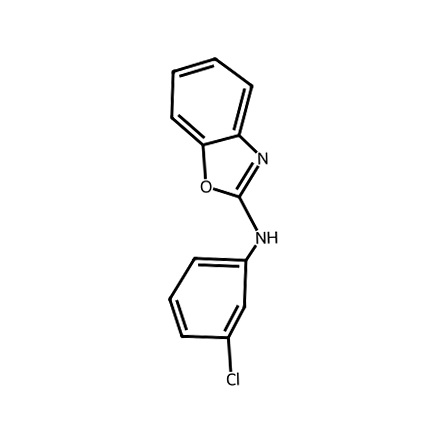 Clc1cccc(Nc2nc3ccccc3o2)c1